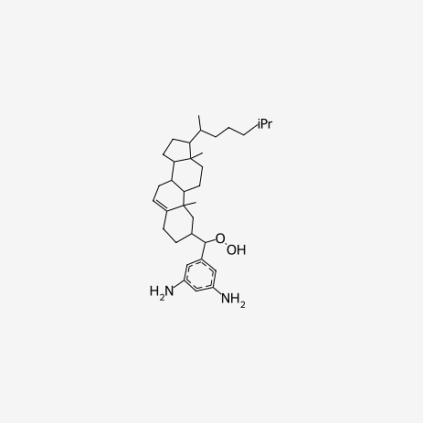 CC(C)CCCC(C)C1CCC2C3CC=C4CCC(C(OO)c5cc(N)cc(N)c5)CC4(C)C3CCC12C